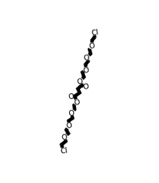 O=C(CCC(=O)OCCOCCOCCOCCCl)OCCOCCOCCOCCCl